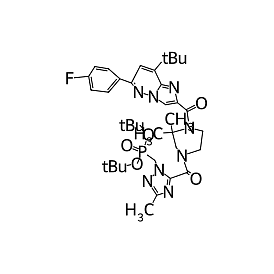 Cc1nc(C(=O)N2CCN(C(=O)c3cn4nc(-c5ccc(F)cc5)cc(C(C)(C)C)c4n3)C(C)(C)C2)n(CP(=O)(OC(C)(C)C)OC(C)(C)C)n1